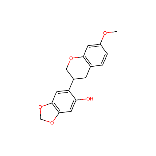 COc1ccc2c(c1)OCC(c1cc3c(cc1O)OCO3)C2